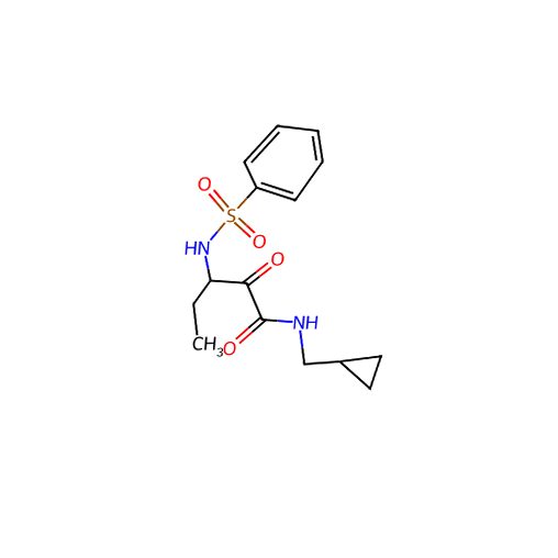 CCC(NS(=O)(=O)c1ccccc1)C(=O)C(=O)NCC1CC1